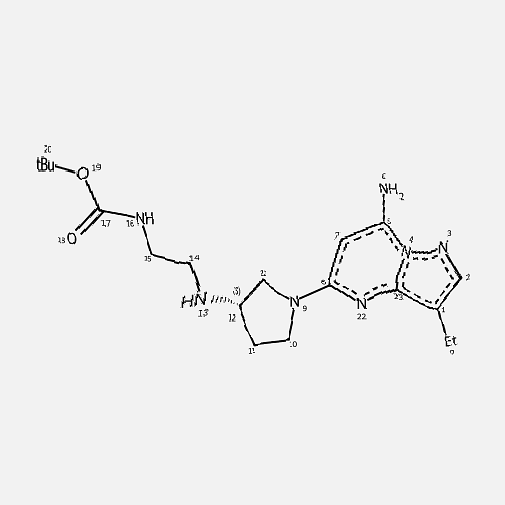 CCc1cnn2c(N)cc(N3CC[C@H](NCCNC(=O)OC(C)(C)C)C3)nc12